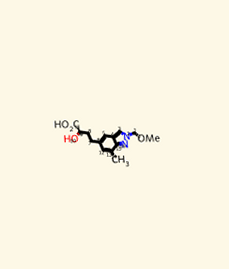 COCn1cc2cc(CC[C@@H](O)C(=O)O)cc(C)c2n1